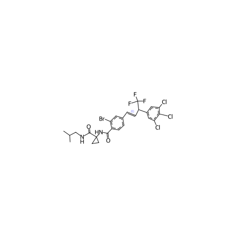 CC(C)CNC(=O)C1(NC(=O)c2ccc(/C=C/C(c3cc(Cl)c(Cl)c(Cl)c3)C(F)(F)F)cc2Br)CC1